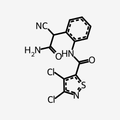 N#CC(C(N)=O)c1ccccc1NC(=O)c1snc(Cl)c1Cl